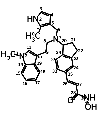 Cc1[nH]ccc1CN(CCc1cn(C)c2ccccc12)C1CCc2cc(/C=C/C(=O)NO)ccc21